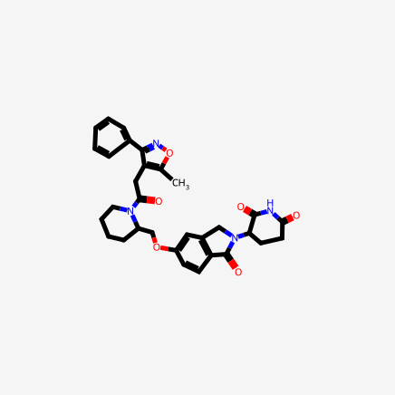 Cc1onc(-c2ccccc2)c1CC(=O)N1CCCCC1COc1ccc2c(c1)CN(C1CCC(=O)NC1=O)C2=O